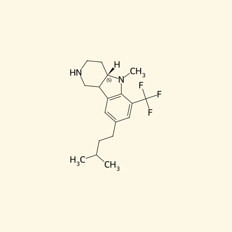 CC(C)CCc1cc2c(c(C(F)(F)F)c1)N(C)[C@H]1CCNCC21